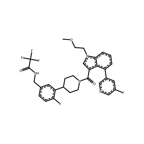 COCCn1cc(C(=O)N2CCC(c3cc(CNC(=O)C(F)(F)F)ccc3F)CC2)c2c(-c3cncc(F)c3)cccc21